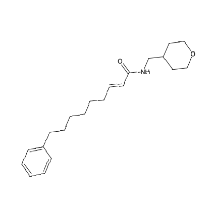 O=C(/C=C/CCCCCCc1ccccc1)NCC1CCOCC1